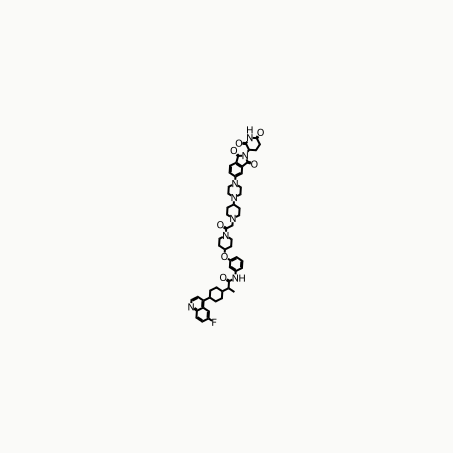 CC(C(=O)Nc1cccc(OC2CCN(C(=O)CN3CCC(N4CCN(c5ccc6c(c5)C(=O)N(C5CCC(=O)NC5=O)C6=O)CC4)CC3)CC2)c1)C1CCC(c2ccnc3ccc(F)cc23)CC1